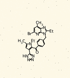 CCc1nc2c(C)cc(Br)nc2n1Cc1ccc(C(=O)c2c(-c3nnn[nH]3)cc(C)n2CC)cc1